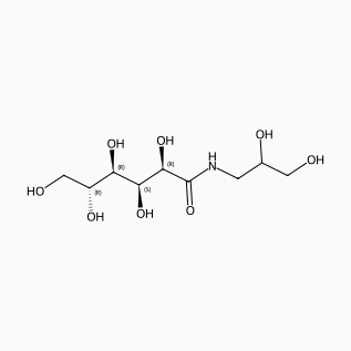 O=C(NCC(O)CO)[C@H](O)[C@@H](O)[C@H](O)[C@H](O)CO